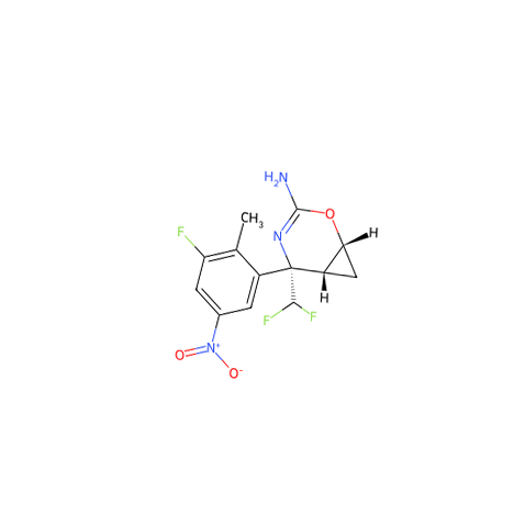 Cc1c(F)cc([N+](=O)[O-])cc1[C@@]1(C(F)F)N=C(N)O[C@@H]2C[C@@H]21